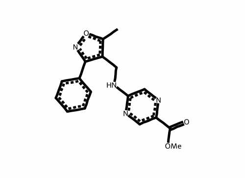 COC(=O)c1cnc(NCc2c(-c3ccccc3)noc2C)cn1